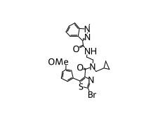 COc1cccc(-c2sc(Br)nc2C(=O)N(CCNC(=O)c2nn(C)c3ccccc23)CC2CC2)c1